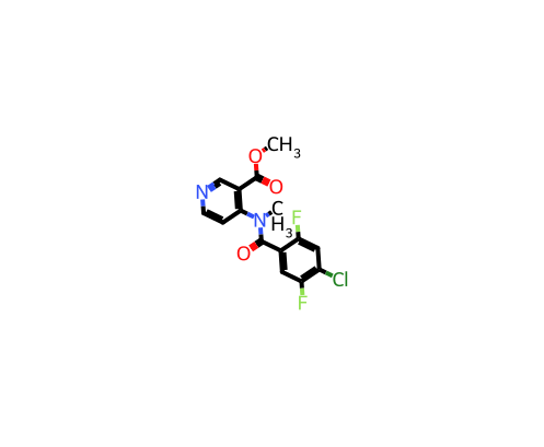 COC(=O)c1cnccc1N(C)C(=O)c1cc(F)c(Cl)cc1F